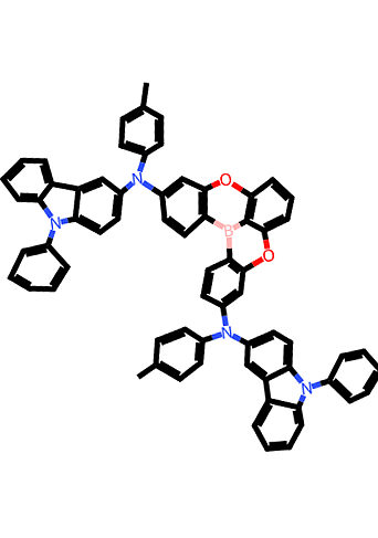 Cc1ccc(N(c2ccc3c(c2)Oc2cccc4c2B3c2ccc(N(c3ccc(C)cc3)c3ccc5c(c3)c3ccccc3n5-c3ccccc3)cc2O4)c2ccc3c(c2)c2ccccc2n3-c2ccccc2)cc1